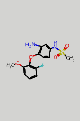 COc1cccc(F)c1Oc1ccc(NS(C)(=O)=O)cc1N